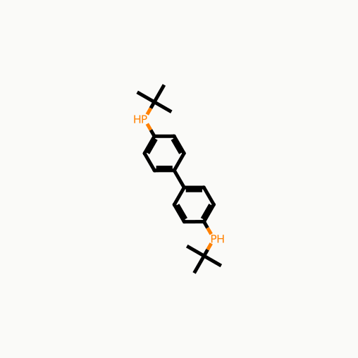 CC(C)(C)Pc1ccc(-c2ccc(PC(C)(C)C)cc2)cc1